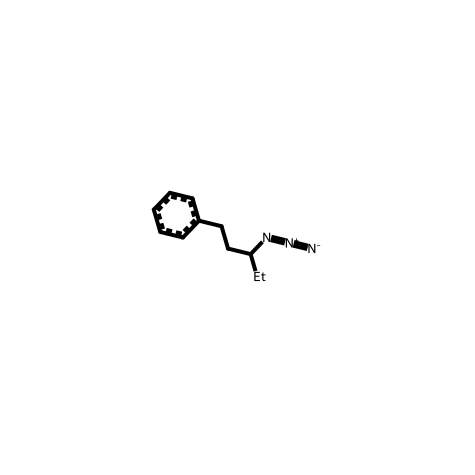 [CH2]CC(CCc1ccccc1)N=[N+]=[N-]